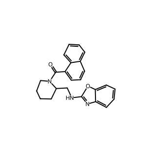 O=C(c1cccc2ccccc12)N1CCCCC1CNc1nc2ccccc2o1